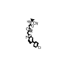 N#CC1(NC(=O)Cc2nnc(Cc3nc4ccc(-c5ccc(Cl)cc5)cc4s3)o2)CC1